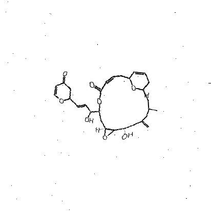 C=C1CC(C)C[C@@H]2CC=CC(C/C=C\C(=O)OC(C(O)/C=C/C3CC(=O)C=CO3)C[C@@H]3OC3[C@@H](O)C1)O2